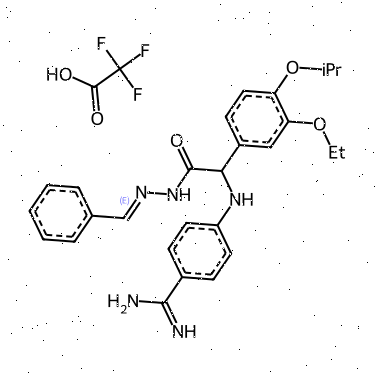 CCOc1cc(C(Nc2ccc(C(=N)N)cc2)C(=O)N/N=C/c2ccccc2)ccc1OC(C)C.O=C(O)C(F)(F)F